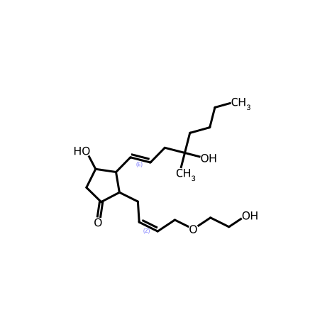 CCCCC(C)(O)C/C=C/C1C(O)CC(=O)C1C/C=C\COCCO